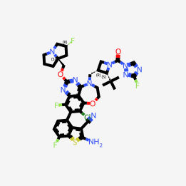 CC(C)(C)[C@@H]1[C@H](CN2CCOc3c(Cl)c(-c4ccc(F)c5sc(N)c(C#N)c45)c(F)c4nc(OC[C@@]56CCCN5C[C@H](F)C6)nc2c34)CN1C(=O)n1cnc(F)n1